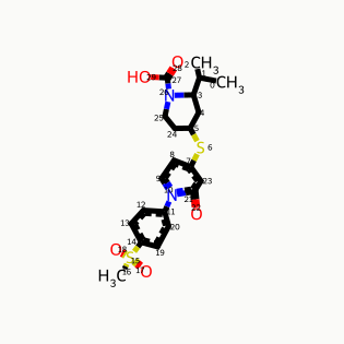 CC(C)C1CC(Sc2ccn(-c3ccc(S(C)(=O)=O)cc3)c(=O)c2)CCN1C(=O)O